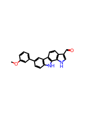 COc1cccc(-c2ccc3[nH]c4c(ccc5c(C=O)c[nH]c54)c3c2)c1